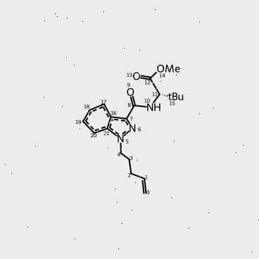 C=CCCCn1nc(C(=O)N[C@H](C(=O)OC)C(C)(C)C)c2ccccc21